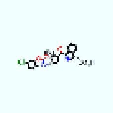 CC(C)(C)OC(=O)N(Cc1ccc(Cl)cc1)Cc1ccc(C(=O)c2ncc(CC(=O)O)c3ccccc23)cc1